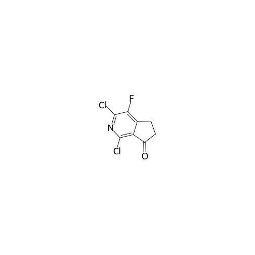 O=C1CCc2c(F)c(Cl)nc(Cl)c21